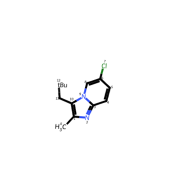 Cc1nc2ccc(Cl)cn2c1CC(C)(C)C